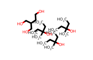 O=C(O)CC(O)(CC(=O)O)C(=O)O.O=C(O)CC(O)(CC(=O)O)C(=O)O.O=C(O)CC(O)(CC(=O)O)C(=O)O.OCCC(CO)CO